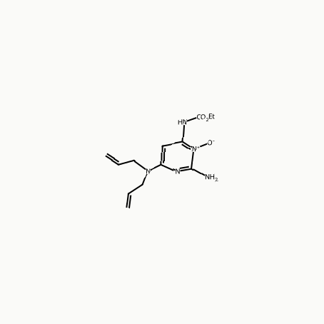 C=CCN(CC=C)c1cc(NC(=O)OCC)[n+]([O-])c(N)n1